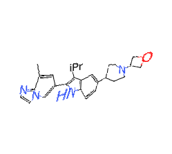 Cc1cc(-c2[nH]c3ccc(C4CCN(C5COC5)CC4)cc3c2C(C)C)cn2ccnc12